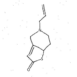 C=CCN1CCC2SC(=O)C=C2C1